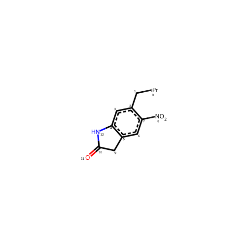 CC(C)Cc1cc2c(cc1[N+](=O)[O-])CC(=O)N2